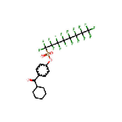 O=C(c1ccc(OS(=O)(=O)C(F)(F)C(F)(F)C(F)(F)C(F)(F)C(F)(F)C(F)(F)C(F)(F)C(F)(F)F)cc1)C1CCCCC1